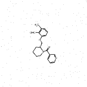 Cc1cccc(OC[C@@H]2CCCCN2C(=O)c2cccnc2)c1C=O